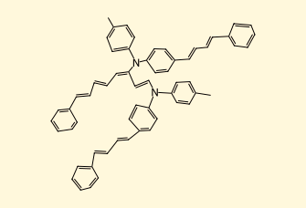 Cc1ccc(N(/C=C/C(=C\C=C\C=C\c2ccccc2)N(c2ccc(C)cc2)c2ccc(/C=C/C=C/c3ccccc3)cc2)c2ccc(/C=C/C=C/c3ccccc3)cc2)cc1